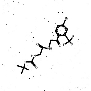 CC(C)(C)OC(=O)NCC(=O)NCC(=O)c1ccc(Br)cc1C(F)(F)F